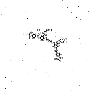 N=C(N)Nc1ccc(C(=O)Oc2ccc(OCCOCCOc3ccc(OC(=O)c4ccc(NC(=N)N)cc4)cc3C(=O)N[C@H](CC(=O)O)C(=O)O)c(C(=O)NC(CC(=O)O)C(=O)O)c2)cc1